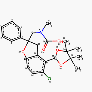 CN(CC1(c2ccccc2)Cc2c(ccc(Cl)c2B2OC(C)(C)C(C)(C)O2)O1)C(=O)O